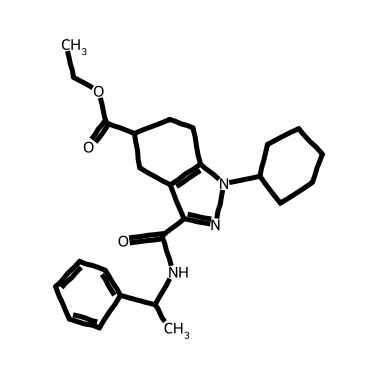 CCOC(=O)C1CCc2c(c(C(=O)NC(C)c3ccccc3)nn2C2CCCCC2)C1